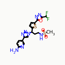 CS(=O)(=O)NCCC(c1ccc(-c2nnc(C(F)F)o2)s1)n1cc(-c2ccc(N)nc2)nn1